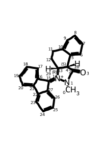 CN1C(=O)[C@H]2c3ccccc3CC[C@H]2[N+]1=C1c2ccccc2-c2ccccc21